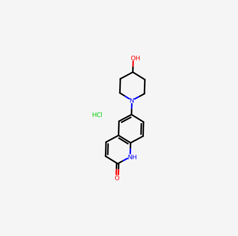 Cl.O=c1ccc2cc(N3CCC(O)CC3)ccc2[nH]1